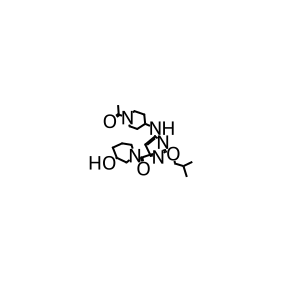 CC(=O)N1CCC(Nc2cc(C(=O)N3CCCC(O)C3)nc(OCC(C)C)n2)CC1